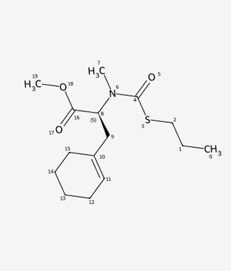 CCCSC(=O)N(C)[C@@H](CC1=CCCCC1)C(=O)OC